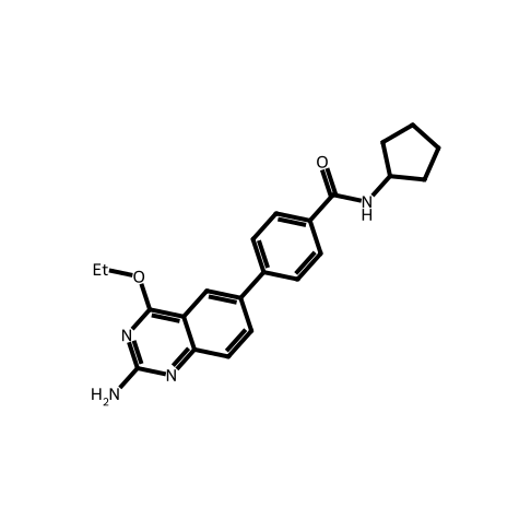 CCOc1nc(N)nc2ccc(-c3ccc(C(=O)NC4CCCC4)cc3)cc12